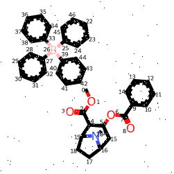 COC(=O)C1C(OC(=O)c2ccccc2)CC2CCC1N2C.c1ccc([B-](c2ccccc2)(c2ccccc2)c2ccccc2)cc1